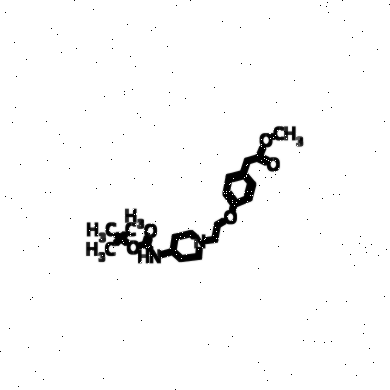 COC(=O)Cc1ccc(OCCN2CCC(NC(=O)OC(C)(C)C)CC2)cc1